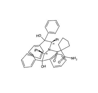 CC(C)[C@@H](N(C(=O)C1(C(N)=O)CCCC1)[C@H](C(C)C)C(O)(c1ccccc1)c1ccccc1)C(O)(c1ccccc1)c1ccccc1